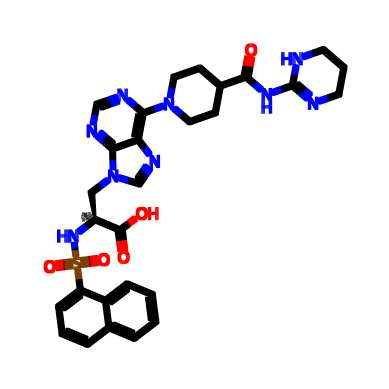 O=C(NC1=NCCCN1)C1CCN(c2ncnc3c2ncn3C[C@H](NS(=O)(=O)c2cccc3ccccc23)C(=O)O)CC1